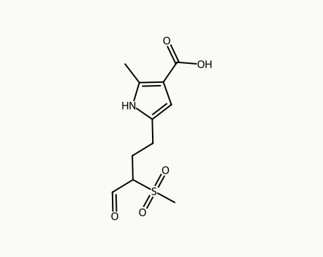 Cc1[nH]c(CCC(C=O)S(C)(=O)=O)cc1C(=O)O